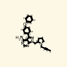 CC#CCN1CCCC1Cn1nc(-c2ccc(Oc3ccccc3)cc2)c2c(N)ncnc21